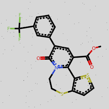 COC(=O)c1cc(-c2cccc(C(F)(F)F)c2)c(=O)n2c1-c1sccc1SCC2